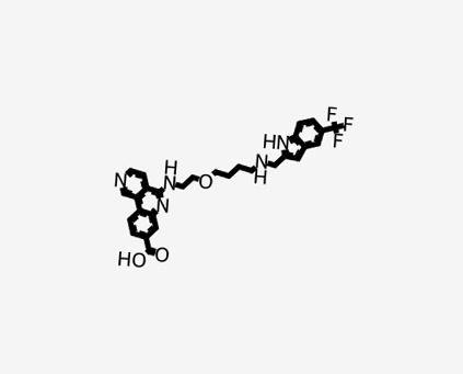 O=C(O)c1ccc2c(c1)nc(NCCOCCCCNCc1cc3cc(C(F)(F)F)ccc3[nH]1)c1ccncc12